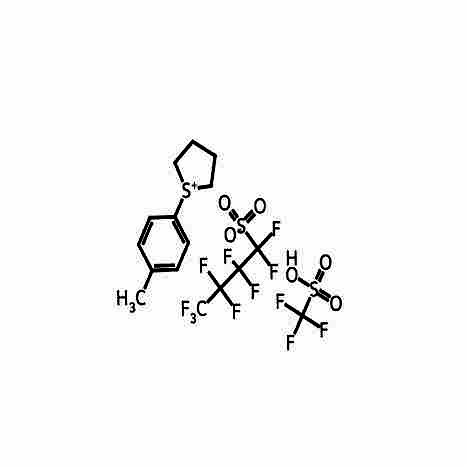 Cc1ccc([S+]2CCCC2)cc1.O=S(=O)(O)C(F)(F)F.O=S(=O)([O-])C(F)(F)C(F)(F)C(F)(F)C(F)(F)F